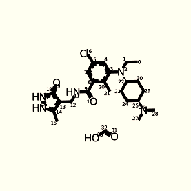 CCN(c1cc(Cl)cc(C(=O)NCc2c(C)[nH][nH]c2=O)c1C)[C@H]1CC[C@H](N(C)C)CC1.O=CO